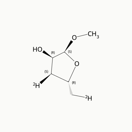 [2H]C[C@H]1O[C@H](OC)[C@H](O)[C@@H]1[2H]